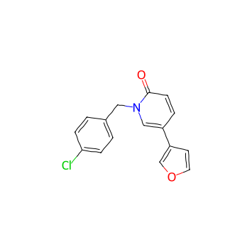 O=c1ccc(-c2ccoc2)cn1Cc1ccc(Cl)cc1